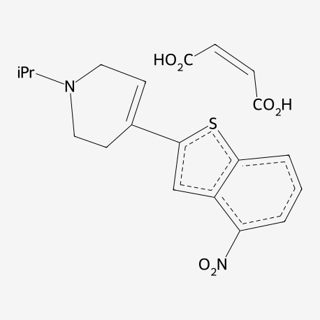 CC(C)N1CC=C(c2cc3c([N+](=O)[O-])cccc3s2)CC1.O=C(O)/C=C\C(=O)O